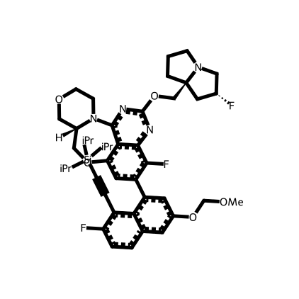 COCOc1cc(-c2cc3c4c(nc(OC[C@@]56CCCN5C[C@H](F)C6)nc4c2F)N2CCOC[C@H]2CO3)c2c(C#C[Si](C(C)C)(C(C)C)C(C)C)c(F)ccc2c1